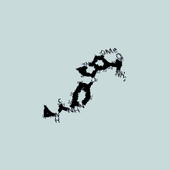 COc1cc2nccc(Oc3ccc(NC(=S)NC4CC4)nc3)c2cc1C(N)=O